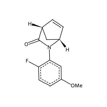 COc1ccc(F)c(N2C(=O)[C@@H]3C=C[C@H]2C3)c1